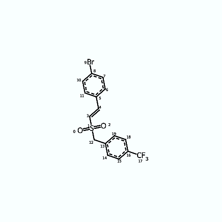 O=S(=O)(C=Cc1ccc(Br)cc1)Cc1ccc(C(F)(F)F)cc1